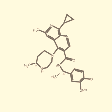 COc1cc([C@H](C)NC(=O)c2cnc3c(C4CC4)nc(C)cc3c2N2CCN[C@@H](C)CC2)ccc1Cl